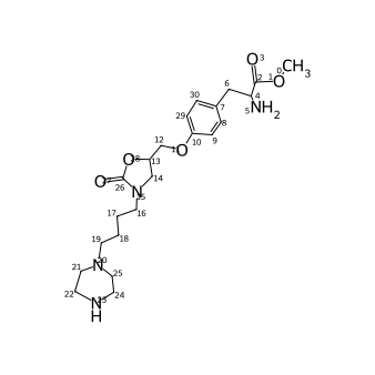 COC(=O)C(N)Cc1ccc(OCC2CN(CCCCN3CCNCC3)C(=O)O2)cc1